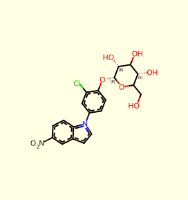 O=[N+]([O-])c1ccc2c(ccn2-c2ccc(O[C@H]3OC(CO)[C@@H](O)C(O)[C@H]3O)c(Cl)c2)c1